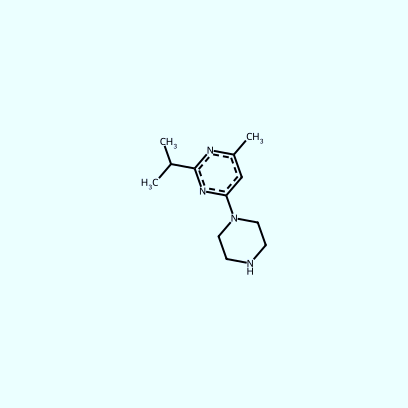 Cc1cc(N2CCNCC2)nc(C(C)C)n1